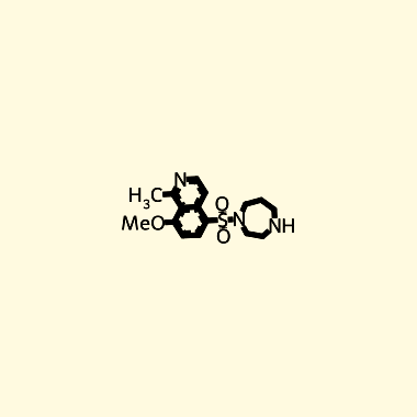 COc1ccc(S(=O)(=O)N2CCCNCC2)c2ccnc(C)c12